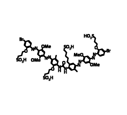 COc1cc(N=Nc2ccc(Br)cc2OCCCS(=O)(=O)O)c(OC)cc1N=Nc1cc(OCCCS(=O)(=O)O)c(NC(=O)Nc2cc(C)c(N=Nc3cc(OC)c(/N=N/c4ccc(Br)cc4OCCCS(=O)(=O)O)cc3OC)cc2CCCCCS(=O)(=O)O)cc1C